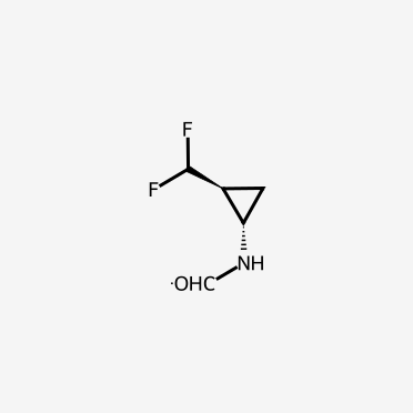 O=[C]N[C@H]1C[C@@H]1C(F)F